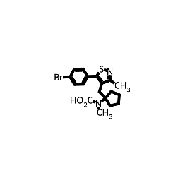 Cc1nsc(-c2ccc(Br)cc2)c1CC1(N(C)C(=O)O)CCCC1